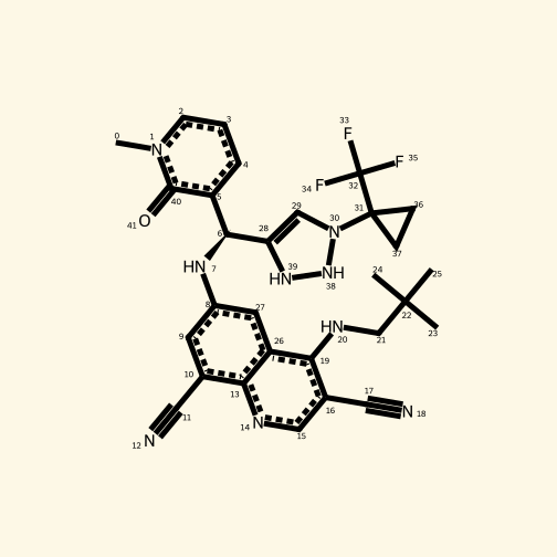 Cn1cccc([C@H](Nc2cc(C#N)c3ncc(C#N)c(NCC(C)(C)C)c3c2)C2=CN(C3(C(F)(F)F)CC3)NN2)c1=O